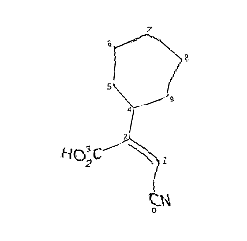 N#CC=C(C(=O)O)C1CCCCC1